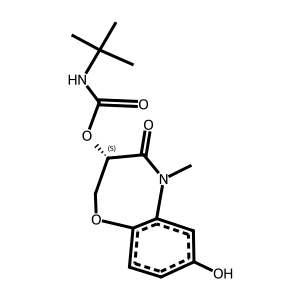 CN1C(=O)[C@@H](OC(=O)NC(C)(C)C)COc2ccc(O)cc21